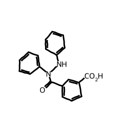 O=C(O)c1cccc(C(=O)N(Nc2ccccc2)c2ccccc2)c1